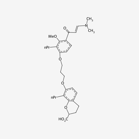 CCCc1c(OCCCOc2ccc(C(=O)C=CN(C)C)c(OC)c2CCC)ccc2c1OC(C(=O)O)CC2